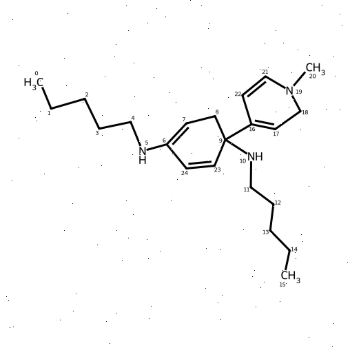 CCCCCNC1=CCC(NCCCCC)(C2=CCN(C)C=C2)C=C1